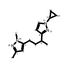 Cc1cc(CCC(C)c2ccn(C3CC3)n2)n(C)n1